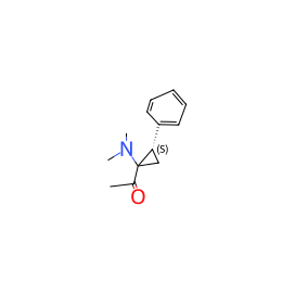 CC(=O)C1(N(C)C)C[C@H]1c1ccccc1